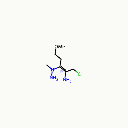 COCC/C(=C(/N)CCl)N(C)N